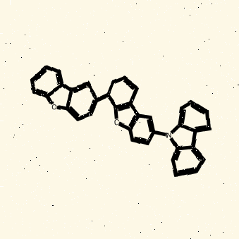 C1=Cc2c(oc3ccc(-n4c5ccccc5c5ccccc54)cc23)C(c2ccc3oc4ccccc4c3c2)C1